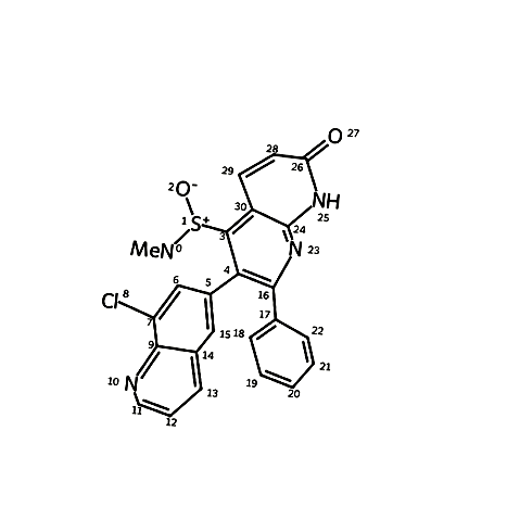 CN[S+]([O-])c1c(-c2cc(Cl)c3ncccc3c2)c(-c2ccccc2)nc2[nH]c(=O)ccc12